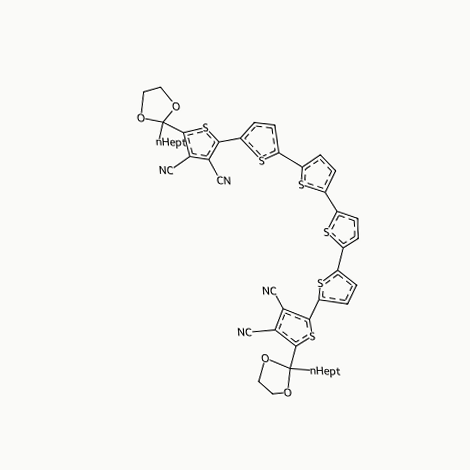 CCCCCCCC1(c2sc(-c3ccc(-c4ccc(-c5ccc(-c6ccc(-c7sc(C8(CCCCCCC)OCCO8)c(C#N)c7C#N)s6)s5)s4)s3)c(C#N)c2C#N)OCCO1